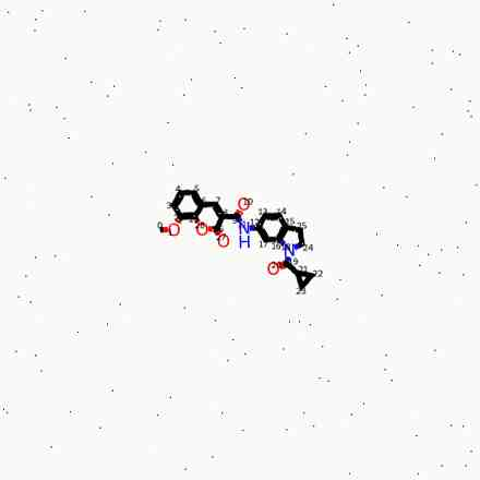 COc1cccc2cc(C(=O)Nc3ccc4c(c3)N(C(=O)C3CC3)CC4)c(=O)oc12